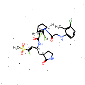 Cc1c(Cl)cccc1NCC(=O)N1[C@@H]2CC[C@H]([C@@H]1C(=O)N[C@H](/C=C(\F)S(C)(=O)=O)C[C@H]1CCNC1=O)C(F)(F)C2